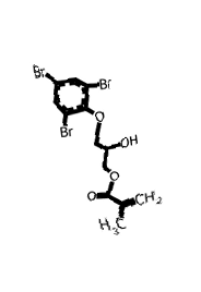 C=C(C)C(=O)OCC(O)COc1c(Br)cc(Br)cc1Br